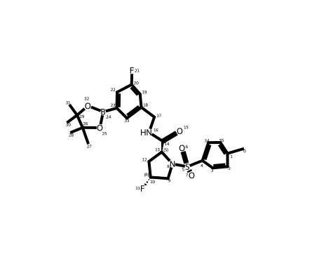 Cc1ccc(S(=O)(=O)N2C[C@H](F)C[C@H]2C(=O)NCc2cc(F)cc(B3OC(C)(C)C(C)(C)O3)c2)cc1